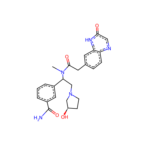 CN(C(=O)Cc1ccc2ncc(=O)[nH]c2c1)C(CN1CC[C@@H](O)C1)c1cccc(C(N)=O)c1